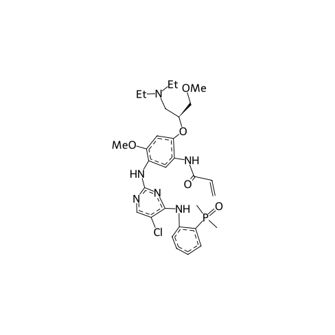 C=CC(=O)Nc1cc(Nc2ncc(Cl)c(Nc3ccccc3P(C)(C)=O)n2)c(OC)cc1O[C@H](COC)CN(CC)CC